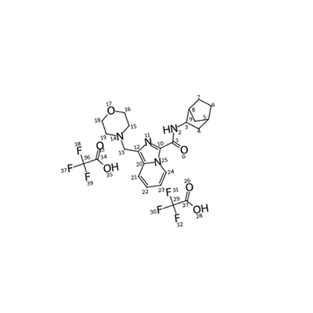 O=C(NC1CC2CCC1C2)c1nc(CN2CCOCC2)c2ccccn12.O=C(O)C(F)(F)F.O=C(O)C(F)(F)F